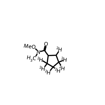 [2H]C1C(C(=O)N(C)OC)C([2H])([2H])C([2H])([2H])C1([2H])[2H]